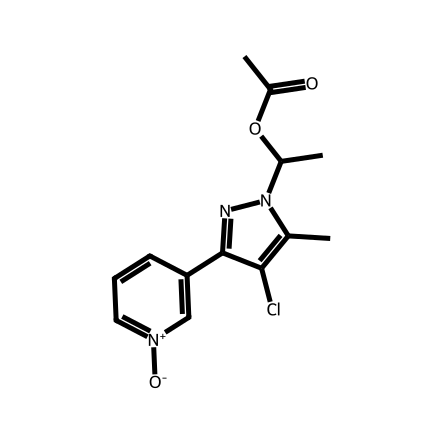 CC(=O)OC(C)n1nc(-c2ccc[n+]([O-])c2)c(Cl)c1C